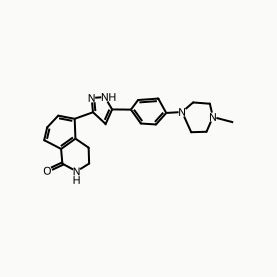 CN1CCN(c2ccc(-c3cc(-c4cccc5c4CCNC5=O)n[nH]3)cc2)CC1